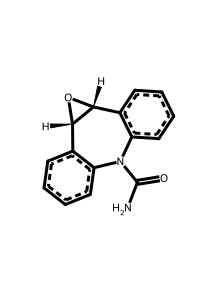 NC(=O)N1c2ccccc2[C@H]2O[C@H]2c2ccccc21